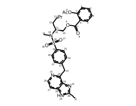 CC(=O)Oc1ccccc1C(=O)OC[C@H](CC(C)C)N(C)S(=O)(=O)c1ccc(Cc2nccc3[nH]c(C)nc23)cc1